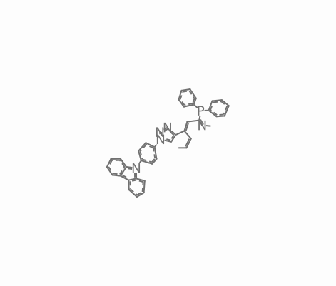 C\C=C/C(=C\C(=N\C)P(c1ccccc1)c1ccccc1)c1cn(-c2ccc(-n3c4ccccc4c4ccccc43)cc2)nn1